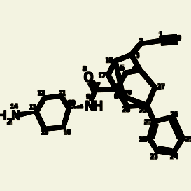 C#CCC1C2CC3(C(=O)N[C@H]4CC[C@H](N)CC4)CC1CC(c1ccccc1)(C2)C3